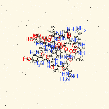 CC(C)C[C@H](NC(=O)[C@H](Cc1ccccc1)NC(=O)[C@H](CCCNC(=N)N)NC(=O)[C@@H](NC(=O)[C@H](CCCNC(=N)N)NC(=O)[C@@H](N)Cc1ccc(O)cc1)C(C)C)C(=O)N[C@@H](C)C(=O)N[C@@H](CCCCN)C(=O)N[C@@H](CCC(=O)O)C(=O)N[C@@H](CC(N)=O)C(=O)N[C@H](C(=O)N[C@H](C(=O)N[C@@H](CCC(N)=O)C(=O)N[C@@H](CC(=O)O)C(=O)O)[C@@H](C)O)C(C)C